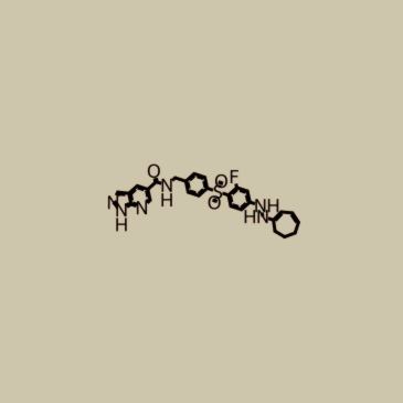 O=C(NCc1ccc(S(=O)(=O)c2ccc(NNC3=CC=CCCC3)cc2F)cc1)c1cnc2[nH]ncc2c1